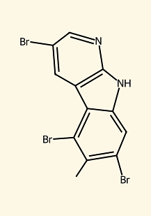 Cc1c(Br)cc2[nH]c3ncc(Br)cc3c2c1Br